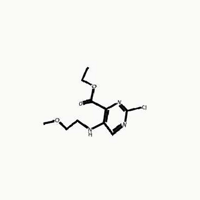 CCOC(=O)c1nc(Cl)ncc1NCCOC